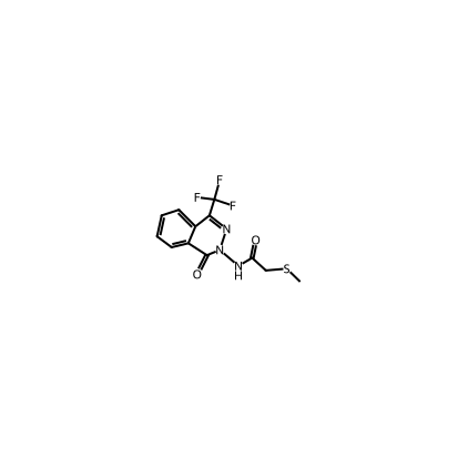 CSCC(=O)Nn1nc(C(F)(F)F)c2ccccc2c1=O